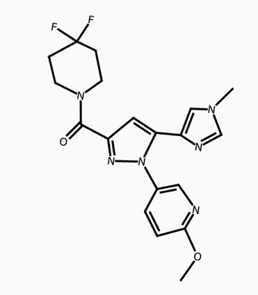 COc1ccc(-n2nc(C(=O)N3CCC(F)(F)CC3)cc2-c2cn(C)cn2)cn1